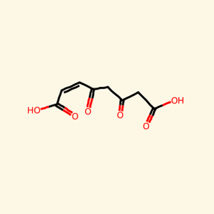 O=C(O)/C=C\C(=O)CC(=O)CC(=O)O